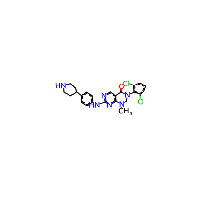 CN1CN(c2c(Cl)cccc2Cl)C(=O)c2cnc(Nc3ccc(C4CCNCC4)cc3)nc21